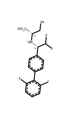 CC(C)C[C@H](N[C@@H](c1ccc(-c2c(F)cccc2F)cc1)C(F)F)C(=O)O